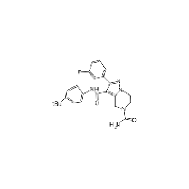 CC(C)(C)c1ccc(NC(=O)c2c(-c3cccc(F)c3)nn3c2CN(C(N)=O)CC3)cc1